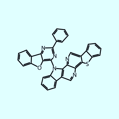 c1ccc(-c2nc(-n3c4ccccc4c4cnc5c(ncc6c7ccccc7sc65)c43)c3oc4ccccc4c3n2)cc1